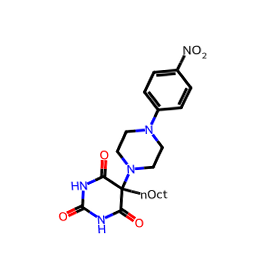 CCCCCCCCC1(N2CCN(c3ccc([N+](=O)[O-])cc3)CC2)C(=O)NC(=O)NC1=O